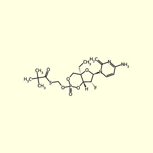 C=C1N=C(N)C=CN1[C@@H]1O[C@]2(CC)COP(=O)(OCSC(=O)C(C)(C)C)O[C@H]2[C@H]1F